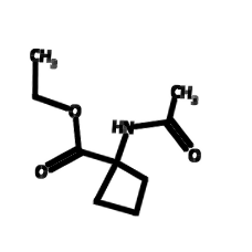 CCOC(=O)C1(NC(C)=O)CCC1